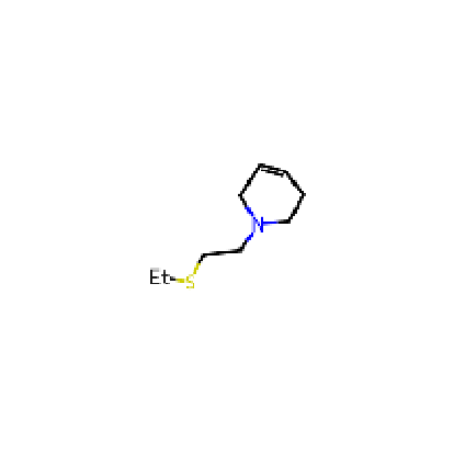 CCSCCN1CC=CCC1